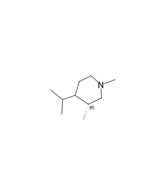 CC(C)C1CCN(C)C[C@@H]1C